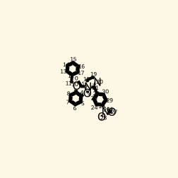 CC[N+]1(Oc2ccccc2OCc2ccccc2)CCN=C1c1ccc([N+](=O)[O-])cc1